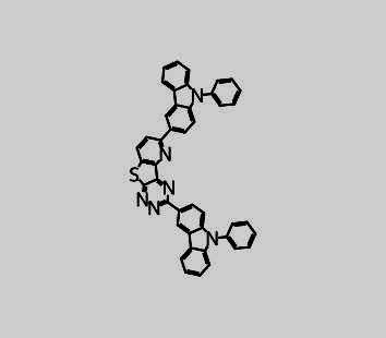 c1ccc(-n2c3ccccc3c3cc(-c4ccc5sc6nnc(-c7ccc8c(c7)c7ccccc7n8-c7ccccc7)nc6c5n4)ccc32)cc1